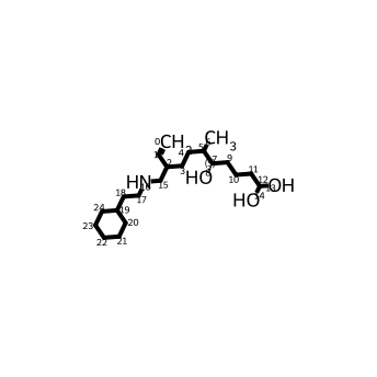 C=CC(CCC(C)[C@@H](O)CCCC(O)O)CNCCC1CCCCC1